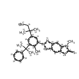 Cn1c(=S)sc2cc3nn(-c4cc(C(C)(C)CC(C)(C)C)cc(C(C)(C)c5ccccc5)c4O)nc3cc21